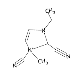 CCN1C=C[N+](C)(C#N)C1C#N